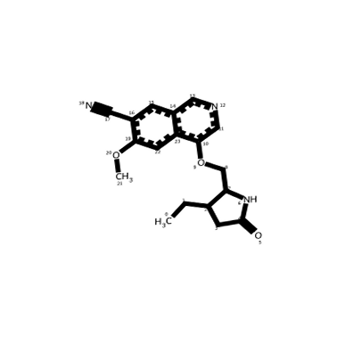 CCC1CC(=O)NC1COc1cncc2cc(C#N)c(OC)cc12